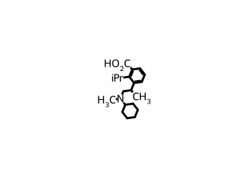 CC(C)c1c(C(=O)O)cccc1C(C)CN(C)C1CCCCC1